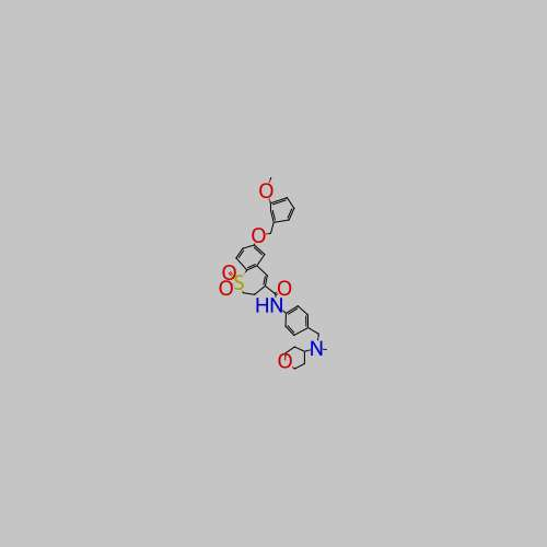 COc1cccc(COc2ccc3c(c2)C=C(C(=O)Nc2ccc(CN(C)C4CCOCC4)cc2)CCS3(=O)=O)c1